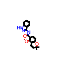 COc1c(C(=O)Nc2n[nH]c3ccccc23)ccc2c1C=CC(C)(C)O2